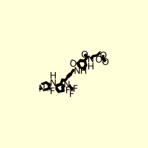 COc1cc(C(=O)NCC2COC(=O)O2)ccc1NCC#Cc1cc2c(N[C@@H]3CCN(C)C[C@@H]3F)cccc2n1CC(F)(F)F